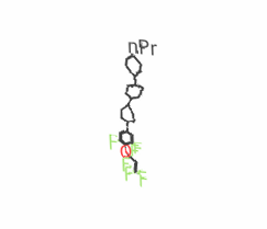 CCCC1CCC(C2CCC(C3CCC(c4cc(F)c(OC(F)(F)C=C(F)F)c(F)c4)CC3)CC2)CC1